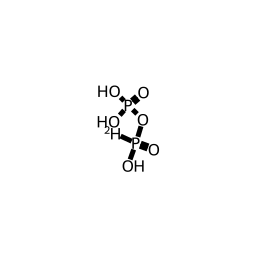 [2H]P(=O)(O)OP(=O)(O)O